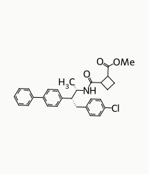 COC(=O)C1CCC1C(=O)N[C@@H](C)[C@H](Cc1ccc(Cl)cc1)c1ccc(-c2ccccc2)cc1